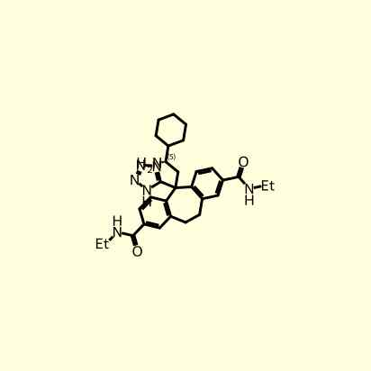 CCNC(=O)c1ccc2c(c1)CCc1cc(C(=O)NCC)ccc1C2(C[C@H](N)C1CCCCC1)c1nnn[nH]1